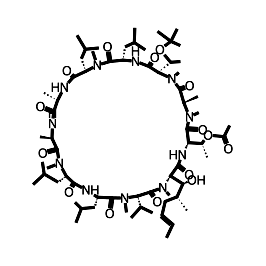 C/C=C/C[C@@H](C)[C@@H](O)[C@H]1C(=O)N[C@@H]([C@@H](C)OC(C)=O)C(=O)N(C)[C@H](C)C(=O)N(C)[C@@H](C(C)OC(C)(C)C)C(=O)N[C@@H](CC(C)C)C(=O)N(C)[C@@H](CC(C)C)C(=O)N[C@@H](C)C(=O)N[C@H](C)C(=O)N(C)[C@@H](CC(C)C)C(=O)N[C@@H](CC(C)C)C(=O)N(C)[C@@H](C(C)C)C(=O)N1C